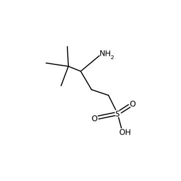 CC(C)(C)C(N)CCS(=O)(=O)O